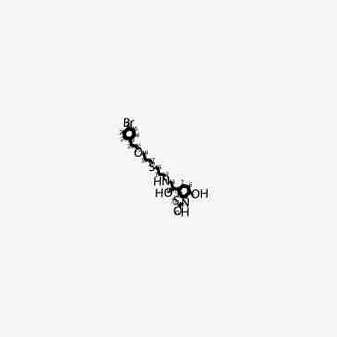 O=c1[nH]c2c(O)ccc([C@@H](O)CNCCCSCCCOCCc3ccc(Br)cc3)c2s1